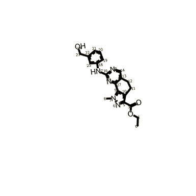 CCOC(=O)c1nn(C)c2c1CCc1cnc(Nc3cccc(CO)c3)nc1-2